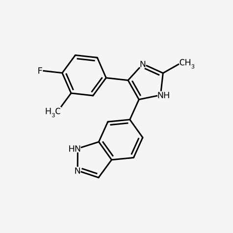 Cc1nc(-c2ccc(F)c(C)c2)c(-c2ccc3cn[nH]c3c2)[nH]1